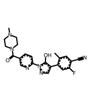 Cc1cc(C#N)c(F)cc1-c1cnn(-c2ccc(C(=O)N3CCN(C)CC3)cn2)c1O